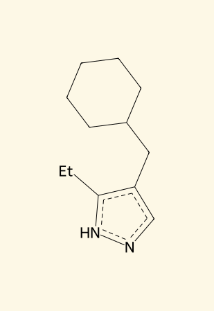 CCc1[nH]ncc1CC1CCCCC1